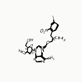 C[C@@H](COCN1CN([C@H]2CC(O)[C@@H](CO)O2)c2ncnc(N)c21)Cc1ccc(I)cc1[N+](=O)[O-]